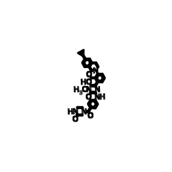 Cn1cc(-c2cccc(N3CCc4cc(C5CC5)ccc4C3=O)c2CO)nc(Nc2ccc(C(=O)N3CCNC(=O)C3)cc2)c1=O